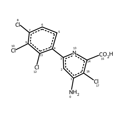 Nc1cc(-c2ccc(Cl)c(Cl)c2Cl)nc(C(=O)O)c1Cl